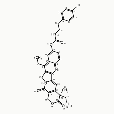 CCc1c2c(nc3ccc(OC(=O)NCCc4ccc(I)cc4)cc13)-c1cc3c(c(=O)n1C2)COC(=O)[C@]3(C)CC